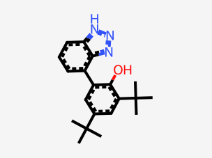 CC(C)(C)c1cc(-c2cccc3[nH]nnc23)c(O)c(C(C)(C)C)c1